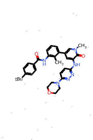 Cc1c(NC(=O)c2ccc(C(C)(C)C)cc2)cccc1-c1cc(Nc2ccc(N3CCOCC3)nn2)c(=O)n(C)c1